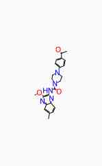 COc1nc2cc(C)ccc2nc1NC(=O)N1CCN(c2ccc(C(C)=O)cc2)CC1